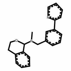 CN(Cc1cccc(-c2ccccn2)c1)C1OCCc2ccccc21